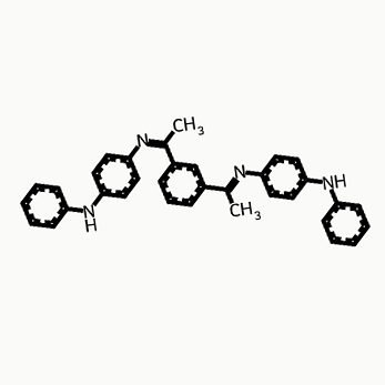 CC(=Nc1ccc(Nc2ccccc2)cc1)c1cccc(C(C)=Nc2ccc(Nc3ccccc3)cc2)c1